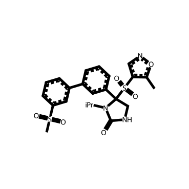 Cc1oncc1S(=O)(=O)C1(c2cccc(-c3cccc(S(C)(=O)=O)c3)c2)CNC(=O)N1C(C)C